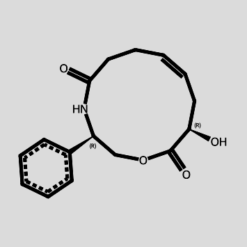 O=C1CCC=CC[C@@H](O)C(=O)OC[C@@H](c2ccccc2)N1